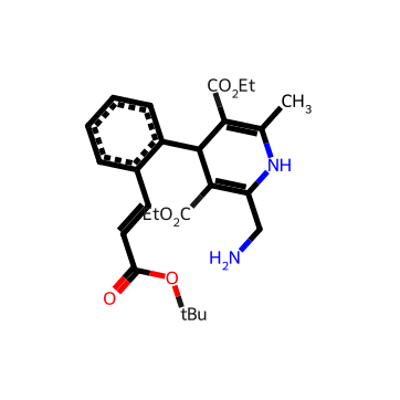 CCOC(=O)C1=C(C)NC(CN)=C(C(=O)OCC)C1c1ccccc1C=CC(=O)OC(C)(C)C